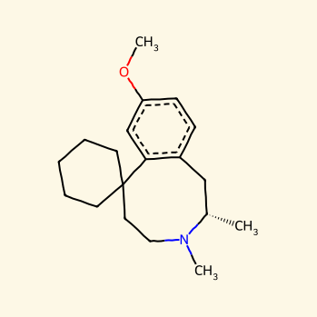 COc1ccc2c(c1)C1(CCCCC1)CCN(C)[C@@H](C)C2